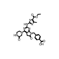 CCOC(=O)c1sc(Nc2nc(N3CCNC(=O)C3)c3c(n2)N(Cc2ccc(C(=O)O)cc2)C(=O)C3)nc1C